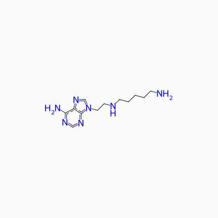 NCCCCCNCCn1cnc2c(N)ncnc21